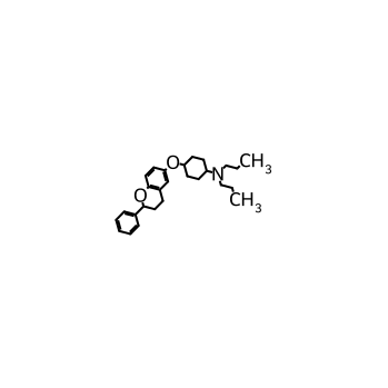 CCCN(CCC)C1CCC(Oc2ccc3c(c2)CCC(c2ccccc2)O3)CC1